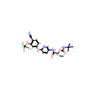 CC[C@@H](OC(=O)NC(C)(C)C)C(=O)Nc1ccc(Oc2ccc(C#N)c(OC(F)(F)F)c2)nc1